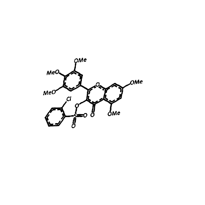 COc1cc(OC)c2c(=O)c(OS(=O)(=O)c3ccccc3Cl)c(-c3cc(OC)c(OC)c(OC)c3)oc2c1